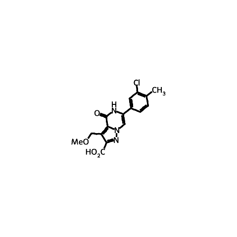 COCc1c(C(=O)O)nn2cc(-c3ccc(C)c(Cl)c3)[nH]c(=O)c12